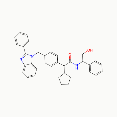 O=C(NC(CO)c1ccccc1)C(c1ccc(Cn2c(-c3ccccc3)nc3ccccc32)cc1)C1CCCC1